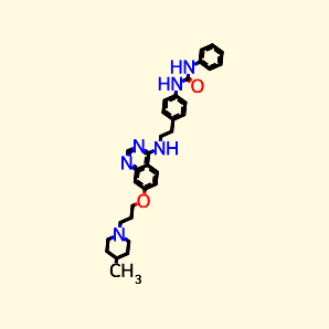 CC1CCN(CCCOc2ccc3c(NCCc4ccc(NC(=O)Nc5ccccc5)cc4)ncnc3c2)CC1